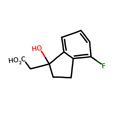 O=C(O)CC1(O)CCc2c(F)cccc21